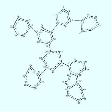 c1ccc(-c2cccc(-c3cc(-c4ccccc4)cc(-c4nc(-c5ccccc5)cc(-c5cccc6c5sc5ccccc56)n4)c3)c2)cc1